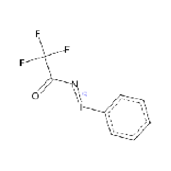 O=C(/N=I/c1ccccc1)C(F)(F)F